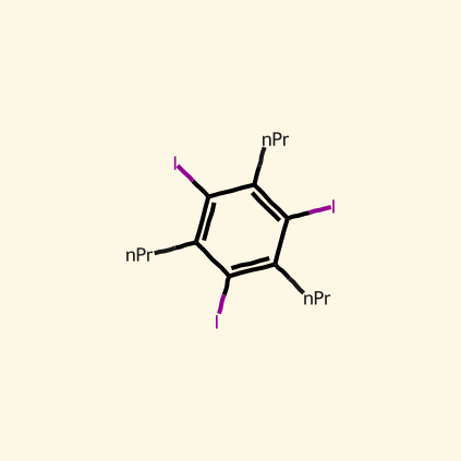 CCCc1c(I)c(CCC)c(I)c(CCC)c1I